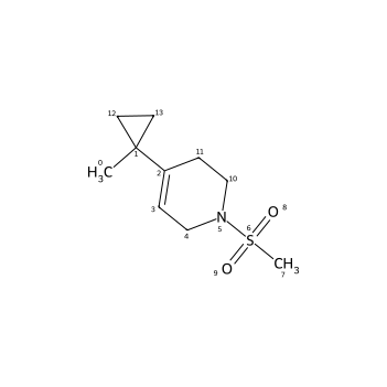 CC1(C2=CCN(S(C)(=O)=O)CC2)CC1